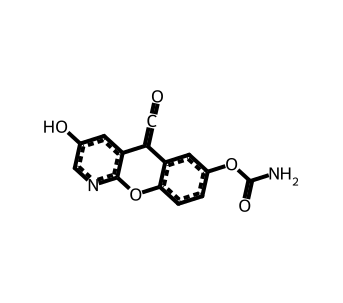 NC(=O)Oc1ccc2c(c1)C(=C=O)c1cc(O)cnc1O2